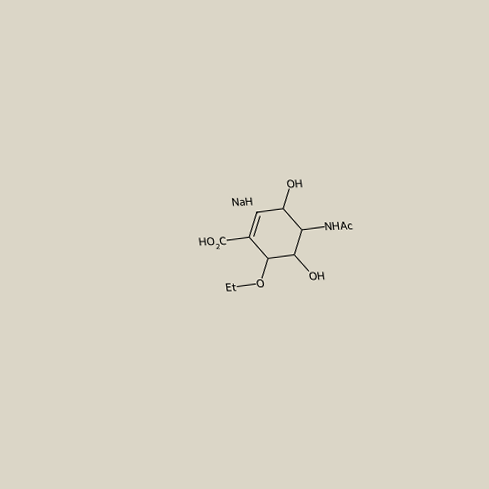 CCOC1C(C(=O)O)=CC(O)C(NC(C)=O)C1O.[NaH]